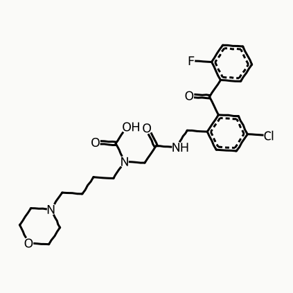 O=C(CN(CCCCN1CCOCC1)C(=O)O)NCc1ccc(Cl)cc1C(=O)c1ccccc1F